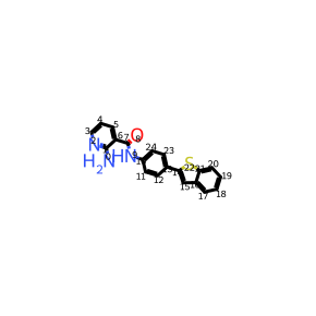 Nc1ncccc1C(=O)Nc1ccc(-c2cc3ccccc3s2)cc1